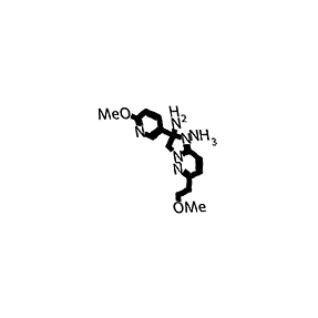 COCCC1=NN2CC(N)(c3ccc(OC)nc3)N=C2C=C1.N